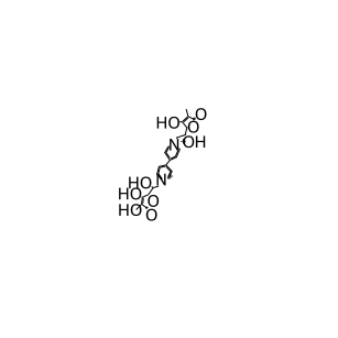 CC1=C(O)C(C(O)C[n+]2ccc(-c3cc[n+](CC(O)C4OC(=O)C(O)=C4O)cc3)cc2)OC1=O